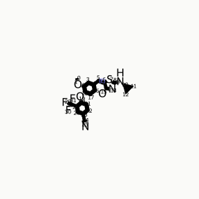 COc1cc(/C=C2/SC(NC3CC3)=NC2=O)ccc1Oc1ccc(C#N)cc1C(F)(F)F